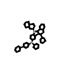 c1ccc(-c2ccc(N(c3ccccc3)c3ccc4c(c3)c3c(-c5ccccc5)cc5ccccc5c3n4-c3ccc4ccccc4c3)cc2)cc1